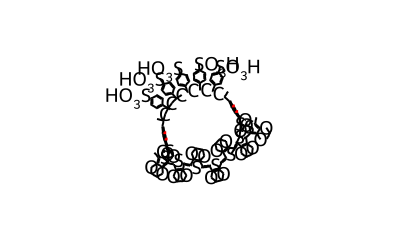 Cc1sc(C2=S3OS(=O)(=O)c4ccc(cc4)C(C)CC(c4ccc(S(=O)(=O)O)cc4)CC(c4ccc(S(=O)(=O)O)cc4)CC(c4ccc(S(=O)(=O)O)cc4)CC(c4ccc(S(=O)(=O)O)cc4)CC(c4ccc(S(=O)(=O)O)cc4)CC(C)c4ccc(cc4)S(=O)(=O)OS4=C(c5sc(C)c6c5OCCO6)C5=C(OCCO5)/C4=c4\s/c(c5c4OCCO5)=c4/s/c(c5c4OCCO5)=C4/S/C(=C/3C3=C2OCCO3)C2OCCOC42)c2c1OCCO2